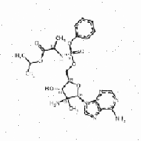 CC(C)OC(=O)[C@@H](C)N[P@](=O)(OC[C@H]1O[C@@H](n2cnc3c(N)ncnc32)[C@](C)(N)[C@@H]1O)Oc1ccccc1